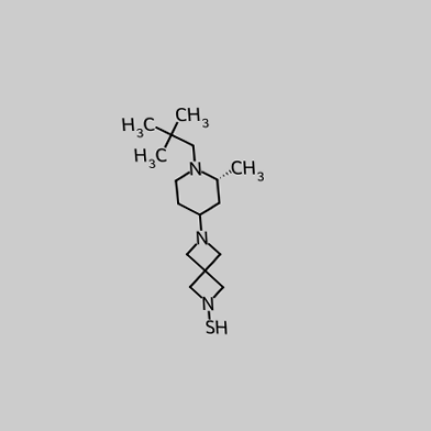 C[C@@H]1CC(N2CC3(CN(S)C3)C2)CCN1CC(C)(C)C